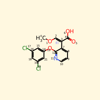 CO/C=C(/C(=O)O)c1cccnc1Oc1cc(Cl)cc(Cl)c1